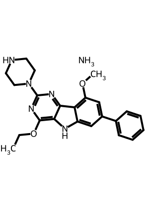 CCOc1nc(N2CCNCC2)nc2c1[nH]c1cc(-c3ccccc3)cc(OC)c12.N